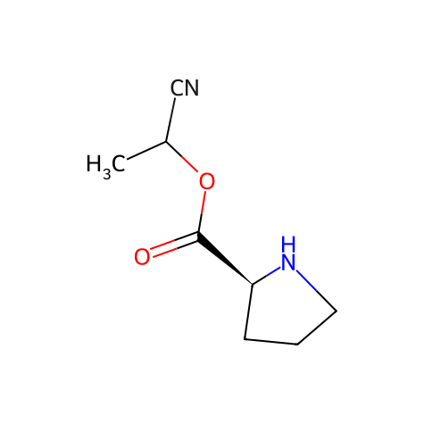 CC(C#N)OC(=O)[C@@H]1CCCN1